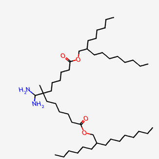 CCCCCCCCC(CCCCCC)COC(=O)CCCCCC(C)(CCCCCC(=O)OCC(CCCCCC)CCCCCCCC)C(N)N